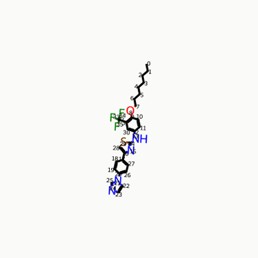 CCCCCCCCOc1ccc(Nc2nc(-c3ccc(-n4ccnc4)cc3)cs2)cc1C(F)(F)F